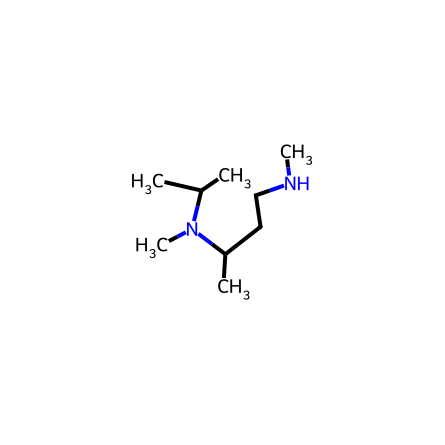 CNCCC(C)N(C)C(C)C